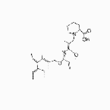 C=C/C(=N\C(OC)=C(/C)CN1CCCCC1C(=O)O)OC/C(C)=C(C)/C(=C\C)C(=C/C)/CC